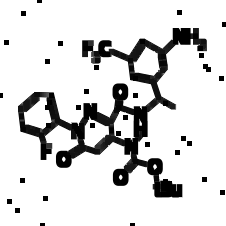 CC(NC(=O)c1nn(-c2ccccc2F)c(=O)cc1N(C)C(=O)OC(C)(C)C)c1cc(N)cc(C(F)(F)F)c1